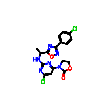 CC(Nc1nc(Cl)cc(N2CCOC2=O)n1)c1nc(-c2ccc(Cl)cc2)no1